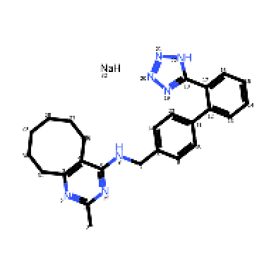 Cc1nc2c(c(NCc3ccc(-c4ccccc4-c4nnn[nH]4)cc3)n1)CCCCCC2.[NaH]